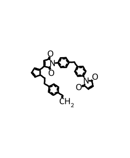 C=Cc1ccc(CCC2C=CC=C2C2=CC(=O)N(c3ccc(Cc4ccc(N5C(=O)C=CC5=O)cc4)cc3)C2=O)cc1